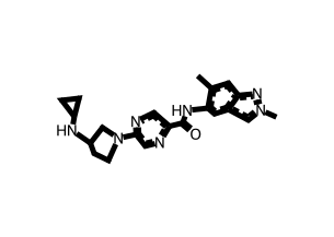 Cc1cc2nn(C)cc2cc1NC(=O)c1cnc(N2CCC(NC3CC3)C2)cn1